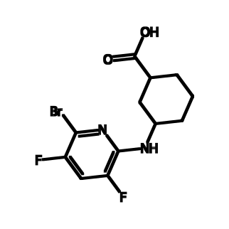 O=C(O)C1CCCC(Nc2nc(Br)c(F)cc2F)C1